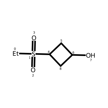 CCS(=O)(=O)C1CC(O)C1